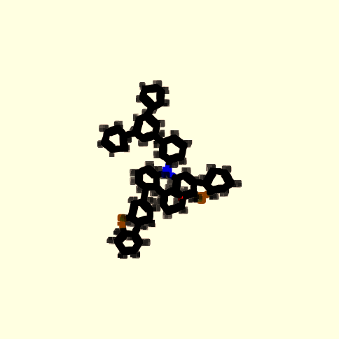 c1ccc(-c2cc(-c3ccccc3)cc(-c3cccc(N(c4ccc5sc6ccccc6c5c4)c4cccc(-c5ccc6c(c5)sc5ccccc56)c4-c4ccccc4)c3)c2)cc1